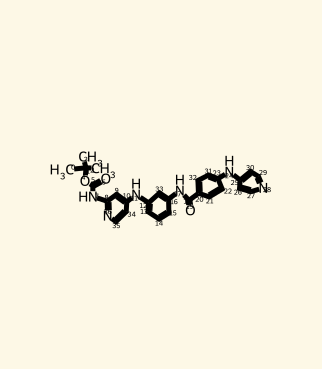 CC(C)(C)OC(=O)Nc1cc(Nc2cccc(NC(=O)c3ccc(Nc4ccncc4)cc3)c2)ccn1